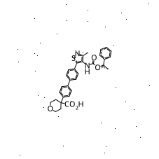 Cc1nsc(-c2ccc(-c3ccc(C4(C(=O)O)CCOCC4)cc3)cc2)c1NC(=O)O[C@H](C)c1ccccc1